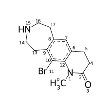 CN1C(=O)CCc2cc3c(c(Br)c21)CCNCC3